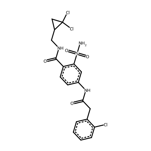 NS(=O)(=O)c1cc(NC(=O)Cc2ccccc2Cl)ccc1C(=O)NCC1CC1(Cl)Cl